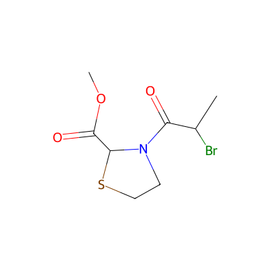 COC(=O)C1SCCN1C(=O)C(C)Br